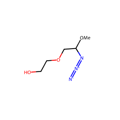 COC(COCCO)N=[N+]=[N-]